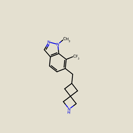 Cn1ncc2ccc(CC3CC4(CNC4)C3)c(C(F)(F)F)c21